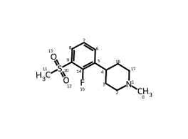 CN1CCC(c2cccc(S(C)(=O)=O)c2F)CC1